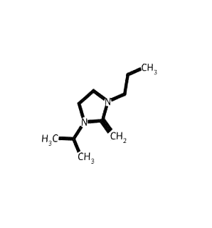 C=C1N(CCC)CCN1C(C)C